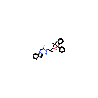 C[C@H](Cn1ccc2ccccc21)NCC(C)(F)CO[Si](c1ccccc1)(c1ccccc1)C(C)(C)C